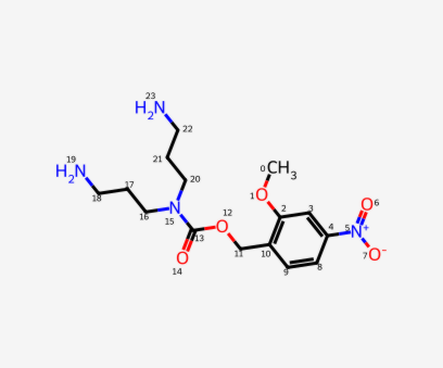 COc1cc([N+](=O)[O-])ccc1COC(=O)N(CCCN)CCCN